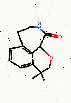 CC1(C)COC2C(=O)NCCc3cccc1c32